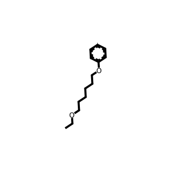 CCOCCCCCCOc1cc[c]cc1